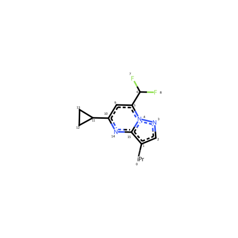 CC(C)c1cnn2c(C(F)F)cc(C3CC3)nc12